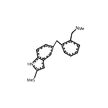 CNCc1ccccc1Cc1ccc2[nH]c(SC)cc2c1